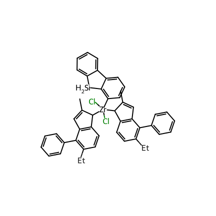 CCc1ccc2c(c1-c1ccccc1)C=C(C)[CH]2[Zr]([Cl])([Cl])([c]1cccc2c1[SiH2]c1ccccc1-2)[CH]1C(C)=Cc2c1ccc(CC)c2-c1ccccc1